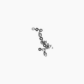 O=C(NS(=O)(=O)c1ccc(N[C@H](CCN2CCOCC2)CSc2ccccc2)c(S(=O)(=O)C(F)(F)F)c1)c1ccc(N2CCN(CC3=C(c4ccc(Cl)cc4)CCCC3)CC2)cc1